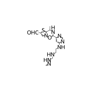 C=NNCNCCNc1cc(C(=O)NC(C)c2ncc(C=O)s2)ncn1